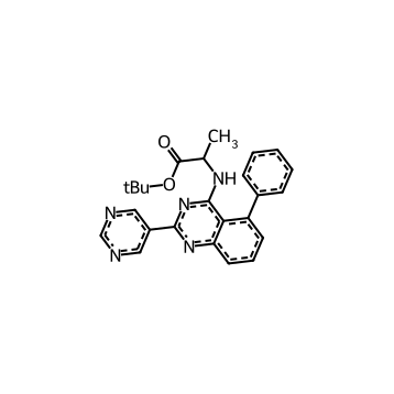 CC(Nc1nc(-c2cncnc2)nc2cccc(-c3ccccc3)c12)C(=O)OC(C)(C)C